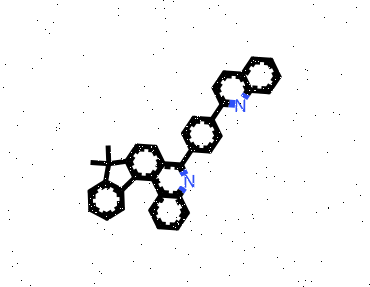 CC1(C)c2ccccc2-c2c1ccc1c(-c3ccc(-c4ccc5ccccc5n4)cc3)nc3ccccc3c21